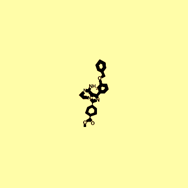 COC(=O)[C@H]1CC[C@H](c2nc(-c3cccc(OCc4ccccc4)c3)c3c(N)nccn32)CC1